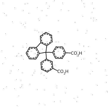 O=C(O)c1ccc(C2(c3cccc(C(=O)O)c3)c3ccccc3-c3ccccc32)cc1